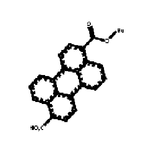 CCC(C)OC(=O)c1ccc2c3cccc4c(C(=O)O)ccc(c5cccc1c52)c43